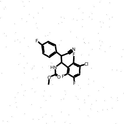 COC(=O)NC(c1c(F)c(F)cc(Cl)c1F)C(C#N)c1ccc(F)cc1